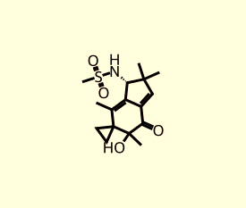 CC1=C2C(=CC(C)(C)[C@H]2NS(C)(=O)=O)C(=O)C(C)(O)C12CC2